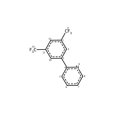 FC(F)(F)c1cc(-c2ccc[c]n2)cc(C(F)(F)F)c1